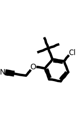 CC(C)(C)c1c(Cl)cccc1OCC#N